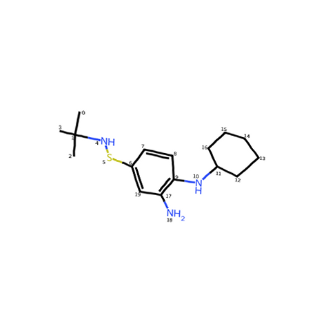 CC(C)(C)NSc1ccc(NC2CCCCC2)c(N)c1